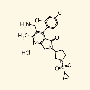 Cc1nc2c(c(-c3ccc(Cl)cc3Cl)c1CN)C(=O)N(C1CCN(S(=O)(=O)C3CC3)C1)C2.Cl